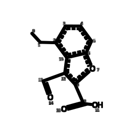 CCc1cccc2oc(C(=O)O)c(C=O)c12